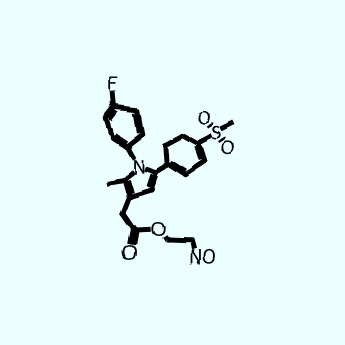 Cc1c(CC(=O)OCCN=O)cc(C2=CC=C(S(C)(=O)=O)CC2)n1-c1ccc(F)cc1